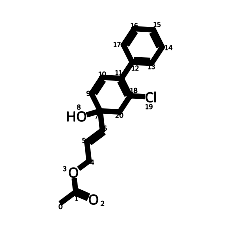 CC(=O)OCC=CC1(O)C=CC(c2ccccc2)=C(Cl)C1